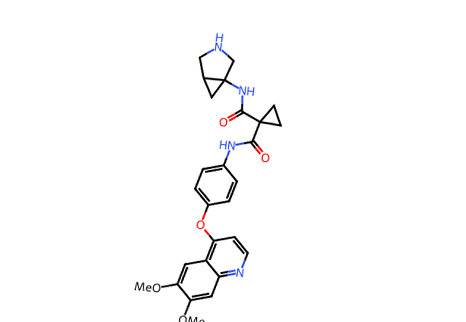 COc1cc2nccc(Oc3ccc(NC(=O)C4(C(=O)NC56CNCC5C6)CC4)cc3)c2cc1OC